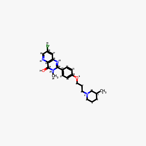 CC1CCCN(CCCOc2ccc(-c3nc4cc(Br)cnc4c(=O)n3C)cc2)C1